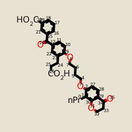 CCCc1c(OCCCCOc2ccc(C(=O)c3cccc(C(=O)O)c3)cc2CCC(=O)O)ccc2c1OCCC2=O